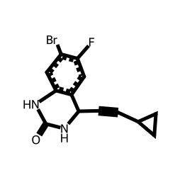 O=C1Nc2cc(Br)c(F)cc2C(C#CC2CC2)N1